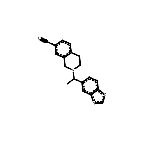 CC(c1ccc2scnc2c1)N1CCc2ccc(C#N)cc2C1